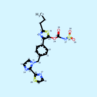 CCCc1nc(-c2ccc(Cn3ccnc3-c3nccs3)cc2)c(OC(=O)N=S(=O)=O)s1